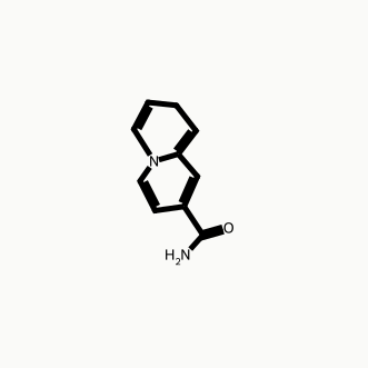 NC(=O)C1=CC2=CCC=CN2C=C1